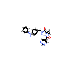 O=C(NC1(C(=O)NCc2ccc(Nc3ccccc3)cc2)CC1)c1cncnc1